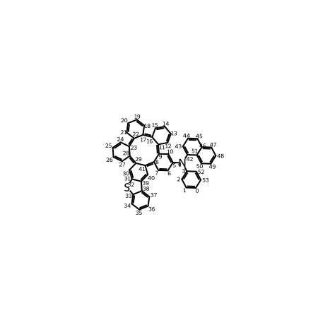 c1ccc(N(c2ccc3c(c2)c2ccccc2c2ccccc2c2ccccc2c2cc4sc5ccccc5c4cc32)c2cccc3ccccc23)cc1